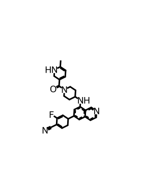 CC1=CC=C(C(=O)N2CCC(Nc3cc(C4C=C(F)C(C#N)=CC4)cc4ccncc34)CC2)CN1